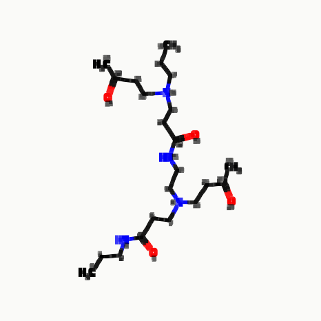 CCCNC(=O)CCN(CCNC(=O)CCN(CCC)CCC(C)=O)CCC(C)=O